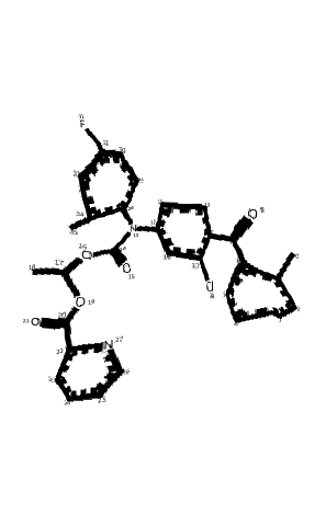 Cc1ccccc1C(=O)c1ccc(N(C(=O)OC(C)OC(=O)c2ccccn2)c2ccc(F)cc2C)cc1Cl